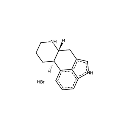 Br.c1cc2c3c(c[nH]c3c1)C[C@H]1NCCC[C@H]21